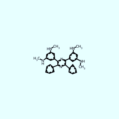 CNc1cc(NC)cc(-c2nc(-c3cc(NC)cc(NC)c3)c(-c3ccccc3)nc2-c2ccccc2)c1